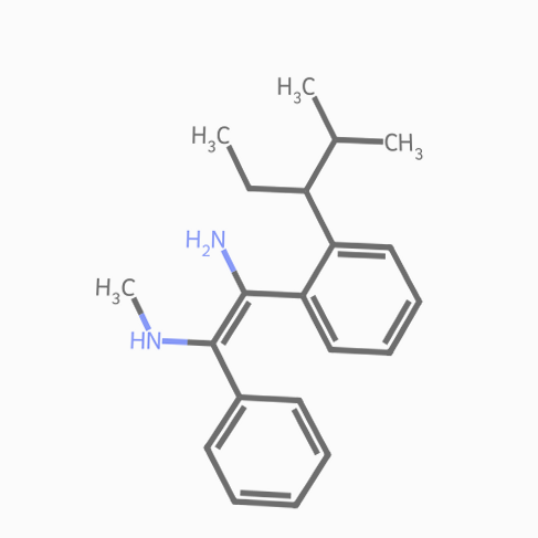 CCC(c1ccccc1/C(N)=C(/NC)c1ccccc1)C(C)C